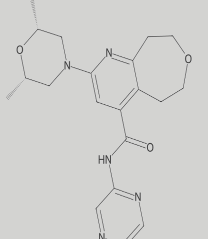 C[C@@H]1CN(c2cc(C(=O)Nc3cnccn3)c3c(n2)CCOCC3)C[C@H](C)O1